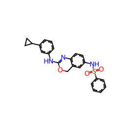 O=S(=O)(Nc1ccc2c(c1)COC(Nc1cccc(C3CC3)c1)=N2)c1ccccc1